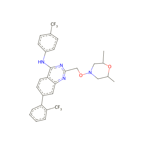 CC1CN(OCc2nc(Nc3ccc(C(F)(F)F)cc3)c3ccc(-c4ccccc4C(F)(F)F)cc3n2)CC(C)O1